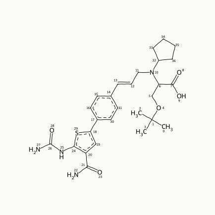 CC(C)(C)OCC(C(=O)O)N(CC=Cc1ccc(-c2cc(C(N)=O)c(NC(N)=O)s2)cc1)C1CCCC1